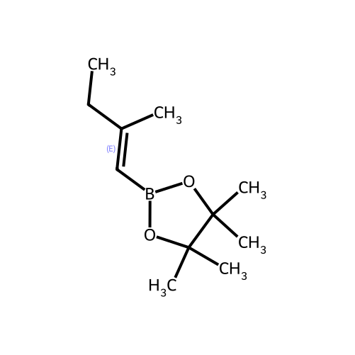 CC/C(C)=C/B1OC(C)(C)C(C)(C)O1